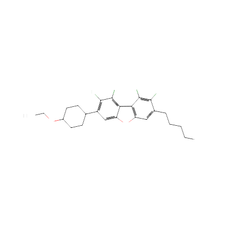 CCCCCc1cc2oc3cc(C4CCC(OCC)CC4)c(F)c(F)c3c2c(F)c1F